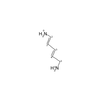 N/C=C/C=C/CN